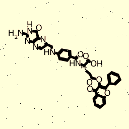 Nc1nc2ncc(CNc3ccc(C(=O)N[C@@H](CCC(=O)Oc4c(-c5ccccc5)oc5ccccc5c4=O)C(=O)O)cc3)nc2c(=O)[nH]1